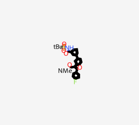 CNC(=O)c1c(-c2ccc(F)cc2)oc2ccc(-c3cccc(C(=O)NS(=O)(=O)C(C)(C)C)c3)cc12